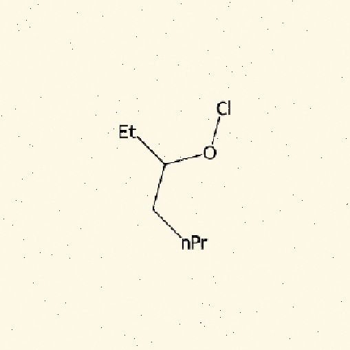 CCCCC(CC)OCl